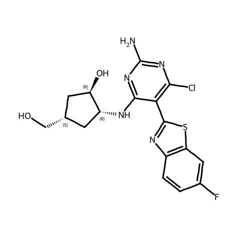 Nc1nc(Cl)c(-c2nc3ccc(F)cc3s2)c(N[C@@H]2C[C@H](CO)C[C@H]2O)n1